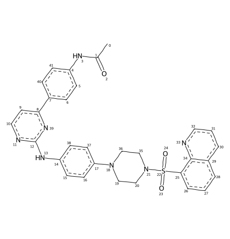 CC(=O)Nc1ccc(-c2ccnc(Nc3ccc(N4CCN(S(=O)(=O)c5cccc6cccnc56)CC4)cc3)n2)cc1